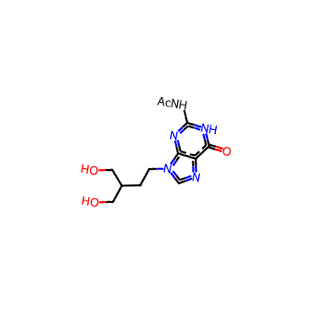 CC(=O)Nc1nc2c(ncn2CCC(CO)CO)c(=O)[nH]1